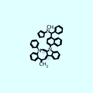 C=C1/C=c2\c(n(-c3ccc(C(c4ccccc4)N(C)C4=CC=CC4)c4ccccc34)c3ccccc23)=C/N(c2ccccc2)c2ccccc21